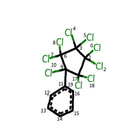 ClC1(Cl)C(Cl)(Cl)C(Cl)(Cl)C(Cl)(c2[c]cccc2)C1(Cl)Cl